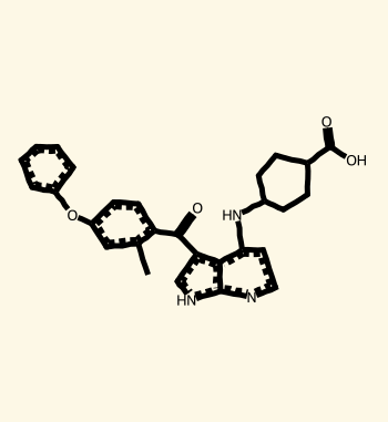 Cc1cc(Oc2ccccc2)ccc1C(=O)c1c[nH]c2nccc(NC3CCC(C(=O)O)CC3)c12